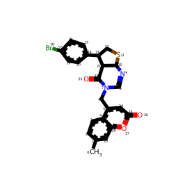 Cc1ccc2c(CN3C=NC4SCC(c5ccc(Br)cc5)C4C3=O)cc(=O)oc2c1